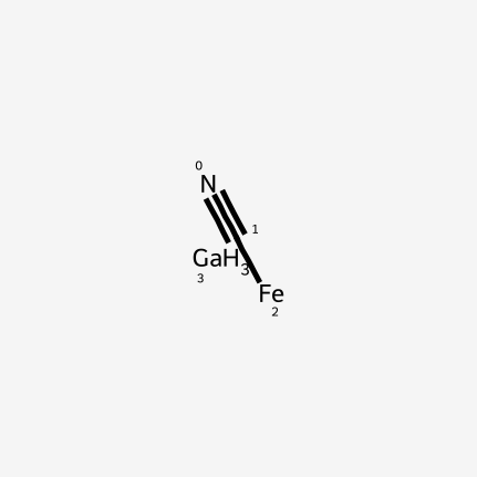 N#[C][Fe].[GaH3]